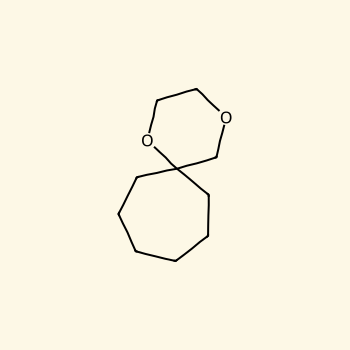 C1CCCC2(CC1)COCCO2